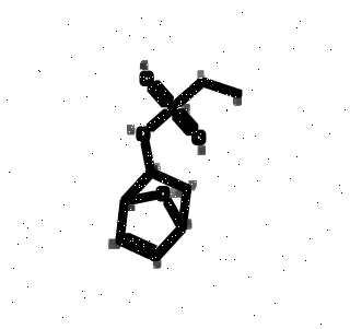 CCS(=O)(=O)OC1CC2C=CC1O2